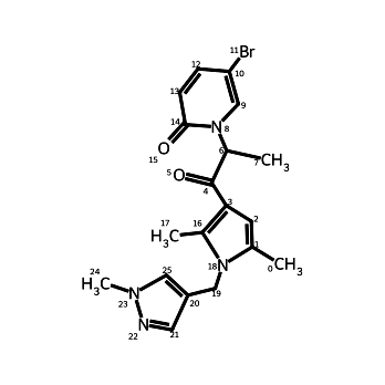 Cc1cc(C(=O)C(C)n2cc(Br)ccc2=O)c(C)n1Cc1cnn(C)c1